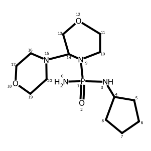 NP(=O)(NC1CCCC1)N1CCOCC1N1CCOCC1